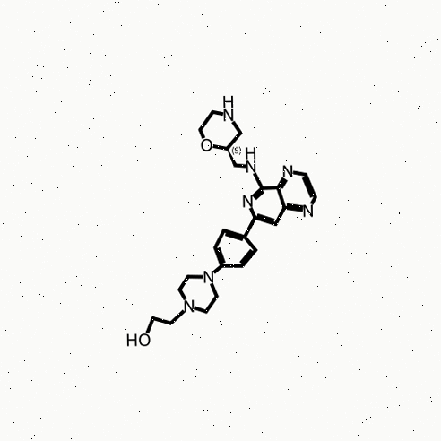 OCCN1CCN(c2ccc(-c3cc4nccnc4c(NC[C@@H]4CNCCO4)n3)cc2)CC1